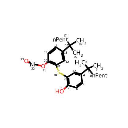 CCCCCC(C)(C)c1ccc(O)c(Sc2cc(C(C)(C)CCCCC)ccc2[O][Ni]=[O])c1